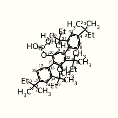 CCC(C)(C)c1ccc(-c2cc(OP(O)O)c(-c3ccc(C(C)(C)CC)cc3C(C)(C)CC)c(C)c2C(C)(C)CC)c(C(C)(C)CC)c1